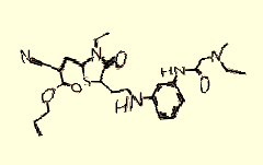 C=CCOC(=O)C(C#N)CC1SC(CCNc2cccc(NC(=O)CN(C)CC)c2)C(=O)N1CC